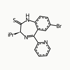 CC(C)[C@@H]1N=C(c2ccccn2)c2cc(Br)ccc2NC1=S